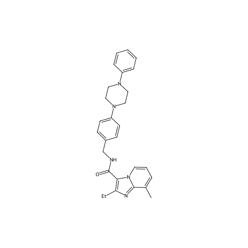 CCc1nc2c(C)cccn2c1C(=O)NCc1ccc(N2CCN(c3ccccc3)CC2)cc1